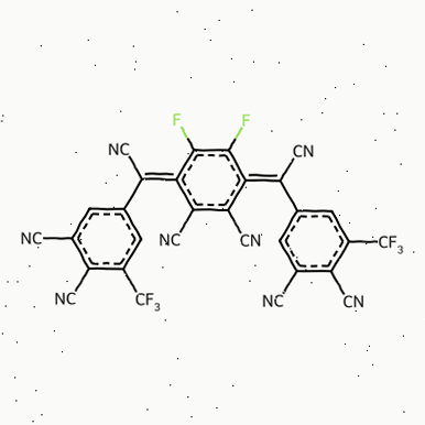 N#C/C(c1cc(C#N)c(C#N)c(C(F)(F)F)c1)=c1\c(F)c(F)/c(=C(\C#N)c2cc(C#N)c(C#N)c(C(F)(F)F)c2)c(C#N)c1C#N